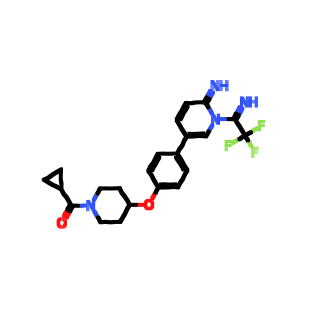 N=C(n1cc(-c2ccc(OC3CCN(C(=O)C4CC4)CC3)cc2)ccc1=N)C(F)(F)F